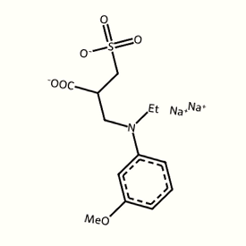 CCN(CC(CS(=O)(=O)[O-])C(=O)[O-])c1cccc(OC)c1.[Na+].[Na+]